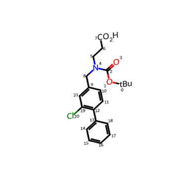 CC(C)(C)OC(=O)N(CCC(=O)O)Cc1ccc(-c2ccccc2)c(Cl)c1